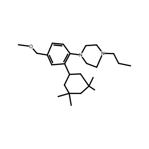 CCCN1CCN(c2ccc(COC)cc2C2CC(C)(C)CC(C)(C)C2)CC1